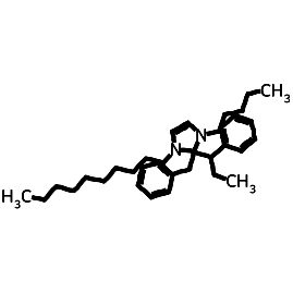 CCCCCCCCCCN1C=CN(CCCCC)C1(Cc1ccccc1)C(CC)c1ccccc1